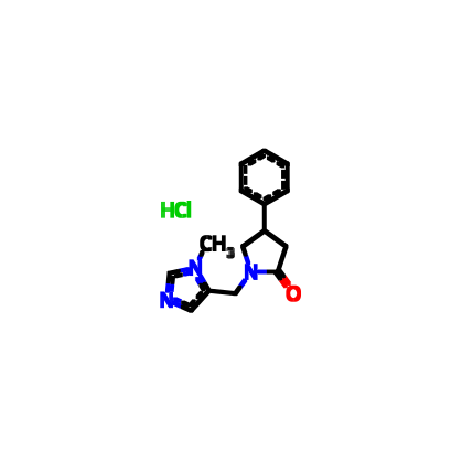 Cl.Cn1cncc1CN1CC(c2ccccc2)CC1=O